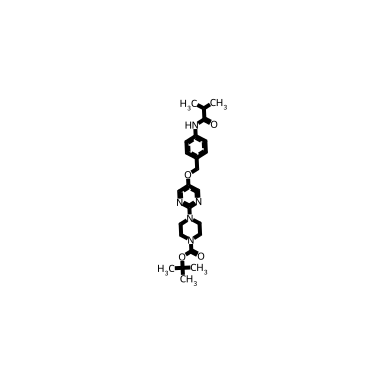 CC(C)C(=O)Nc1ccc(COc2cnc(N3CCN(C(=O)OC(C)(C)C)CC3)nc2)cc1